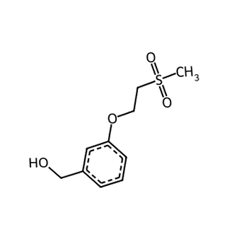 CS(=O)(=O)CCOc1cccc(CO)c1